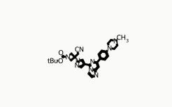 CN1CCN(c2ccc(-c3cc4nccn4c(-c4cnn(C5(CC#N)CN(C(=O)OC(C)(C)C)C5)c4)n3)cc2)CC1